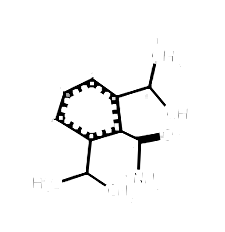 CC(C)c1cccc(C(C)C)c1C(N)=O